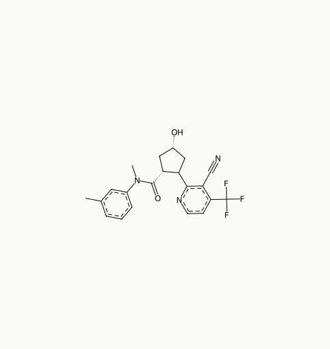 Cc1cccc(N(C)C(=O)[C@@H]2C[C@H](O)CC2c2nccc(C(F)(F)F)c2C#N)c1